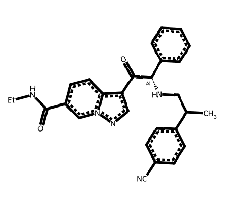 CCNC(=O)c1ccc2c(C(=O)[C@@H](NCC(C)c3ccc(C#N)cc3)c3ccccc3)cnn2c1